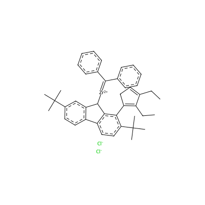 CCC1=CCC(c2c(C(C)(C)C)ccc3c2[CH]([Zr+2]=[C](c2ccccc2)c2ccccc2)c2cc(C(C)(C)C)ccc2-3)=C1CC.[Cl-].[Cl-]